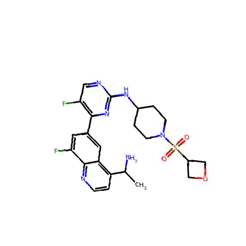 CC(N)c1ccnc2c(F)cc(-c3nc(NC4CCN(S(=O)(=O)C5COC5)CC4)ncc3F)cc12